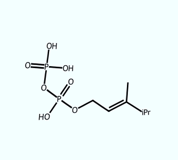 CC(=CCOP(=O)(O)OP(=O)(O)O)C(C)C